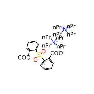 CCC[N+](CCC)(CCC)CCC.CCC[N+](CCC)(CCC)CCC.O=C([O-])c1ccccc1S(=O)(=O)c1ccccc1C(=O)[O-]